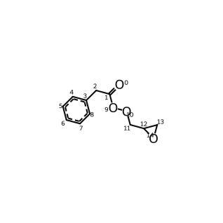 O=C(Cc1ccccc1)OOCC1CO1